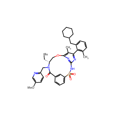 COc1ccc(CN2C(=O)c3cccc(c3)S(=O)(=O)Nc3nc(c(C)c(-c4c(C)cccc4CC4CCCCC4)n3)OC[C@H]2CC(C)(C)C)nc1